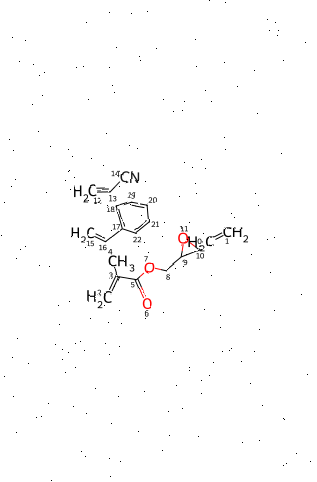 C=C.C=C(C)C(=O)OCC1CO1.C=CC#N.C=Cc1ccccc1